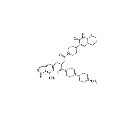 Cc1cc(CC(CC(=O)N2CCC(c3cc4c([nH]c3=O)SCCC4)CC2)C(=O)N2CCN(C3CCN(C)CC3)CC2)cc2cn[nH]c12